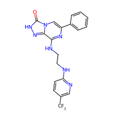 O=c1[nH]nc2c(NCCNc3ccc(C(F)(F)F)cn3)nc(-c3ccccc3)cn12